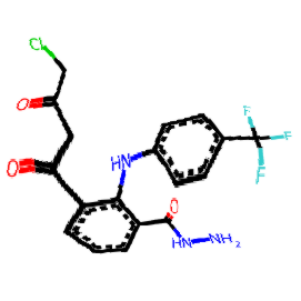 NNC(=O)c1cccc(C(=O)CC(=O)CCl)c1Nc1ccc(C(F)(F)F)cc1